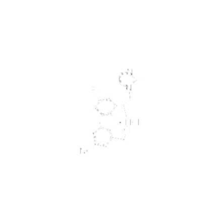 Cl.N#Cc1ccc2c(c1)COC2(CCCn1ccnc1)c1ccc(F)cc1